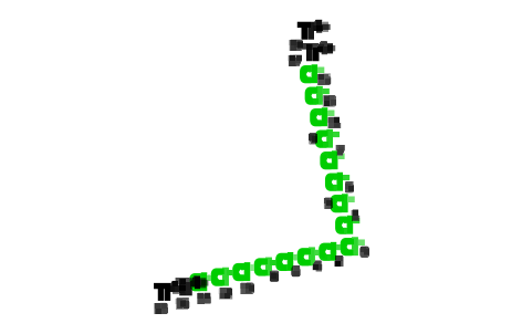 [Cl-].[Cl-].[Cl-].[Cl-].[Cl-].[Cl-].[Cl-].[Cl-].[Cl-].[Cl-].[Cl-].[Cl-].[Cl-].[Cl-].[Cl-].[Cl-].[Ti+4].[Ti+4].[Ti+4].[Ti+4]